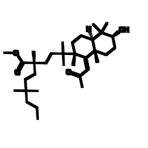 CCCC(C)(C)CC[C@@](C)(CCC(C)(C)[C@]1(C)CC[C@H]2C(C)(C)[C@@H](O)CC[C@]2(C)/C1=C/C(C)=O)C(=O)OC